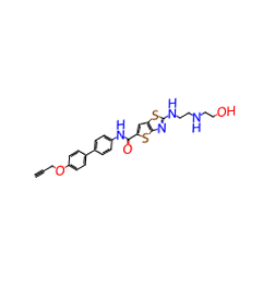 C#CCOc1ccc(-c2ccc(NC(=O)c3cc4sc(NCCNCCO)nc4s3)cc2)cc1